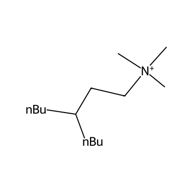 CCCCC(CCCC)CC[N+](C)(C)C